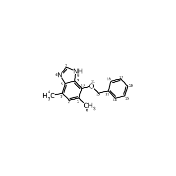 Cc1cc(C)c2nc[nH]c2c1OCc1ccccc1